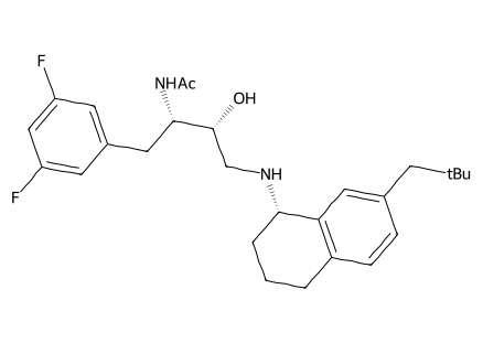 CC(=O)N[C@@H](Cc1cc(F)cc(F)c1)[C@H](O)CN[C@H]1CCCc2ccc(CC(C)(C)C)cc21